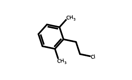 Cc1cccc(C)c1CCCl